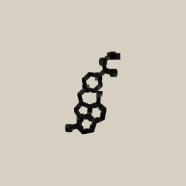 CC(C)(C)OC(=O)N1CCN(CC2Cn3c(=O)ccc4ccc(F)c2c43)CC1